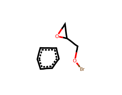 BrOCC1CO1.c1ccccc1